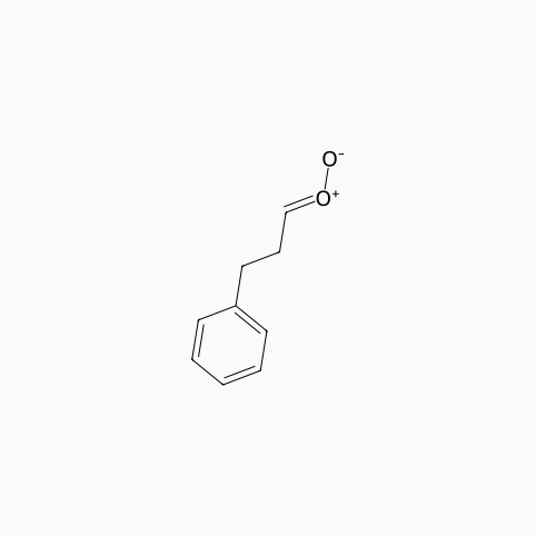 [O-][O+]=CCCc1ccccc1